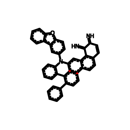 N=C1C=Cc2ccc3ccc(N(c4ccc5oc6ccccc6c5c4)c4ccccc4-c4ccccc4-c4ccccc4)cc3c2C1=N